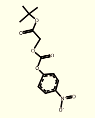 CC(C)(C)OC(=O)COC(=O)Oc1ccc([N+](=O)[O-])cc1